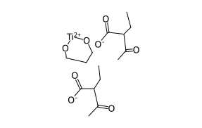 C1C[O][Ti+2][O]C1.CCC(C(C)=O)C(=O)[O-].CCC(C(C)=O)C(=O)[O-]